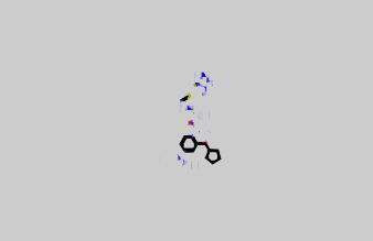 CN(C)c1ccc(NC(=O)Nc2ncc(Sc3nnnn3C)s2)c(C(=O)C2CCCC2)c1